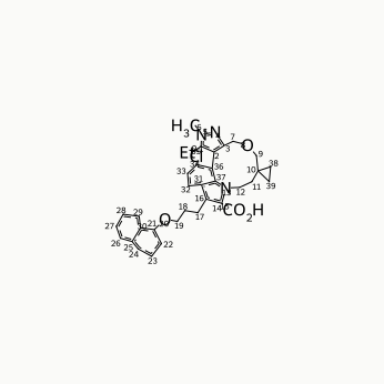 CCc1c2c(nn1C)COCC1(CCn3c(C(=O)O)c(CCCOc4cccc5ccccc45)c4ccc(Cl)c-2c43)CC1